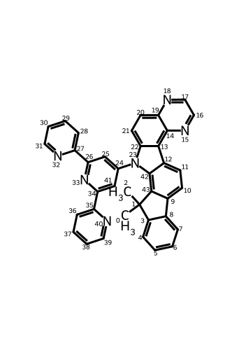 CC1(C)c2ccccc2-c2ccc3c4c5nccnc5ccc4n(-c4cc(-c5ccccn5)nc(-c5ccccn5)c4)c3c21